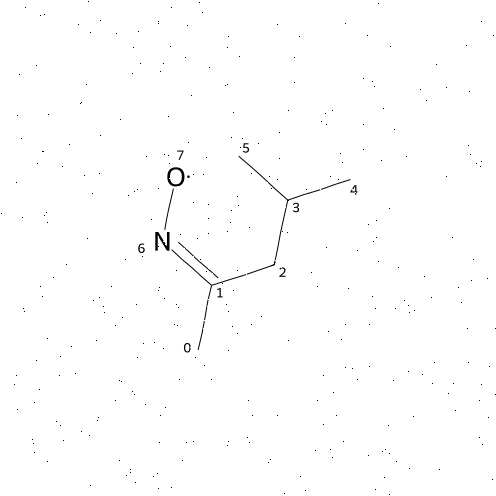 CC(CC(C)C)=N[O]